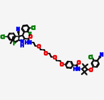 CC(C)(C)C[C@@H]1NC(C(=O)NCCOCCOCCOCCOc2ccc(C(=O)N[C@H]3C(C)(C)[C@H](Oc4ccc(C#N)c(Cl)c4)C3(C)C)cc2)C(c2cccc(Cl)c2F)[C@@]1(C#N)c1ccc(Cl)cc1F